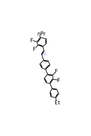 CCCc1ccc(/C=C/c2ccc(-c3ccc(-c4ccc(CC)cc4)c(F)c3F)cc2)c(F)c1F